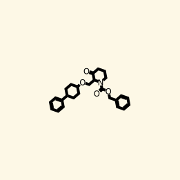 O=C1CCCN(C(=O)OCc2ccccc2)C1COC1CCC(c2ccccc2)CC1